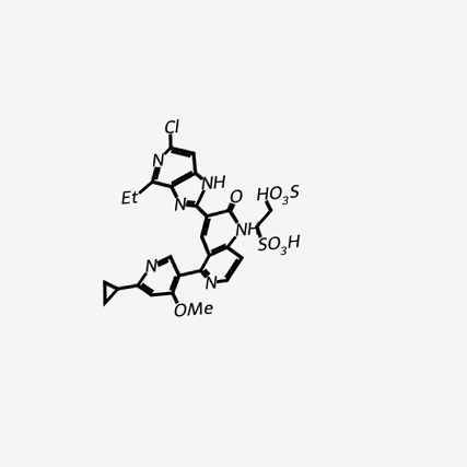 CCc1nc(Cl)cc2[nH]c(-c3cc4c(-c5cnc(C6CC6)cc5OC)nccc4[nH]c3=O)nc12.O=S(=O)(O)CCS(=O)(=O)O